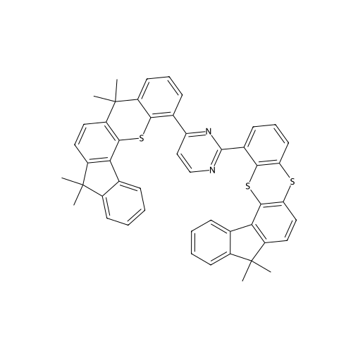 CC1(C)c2cccc(-c3ccnc(-c4cccc5c4Sc4c(ccc6c4-c4ccccc4C6(C)C)S5)n3)c2Sc2c1ccc1c2-c2ccccc2C1(C)C